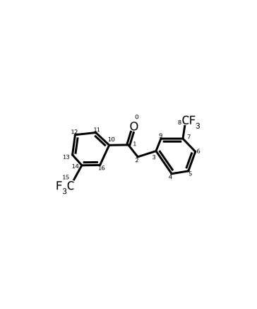 O=C(Cc1cccc(C(F)(F)F)c1)c1cccc(C(F)(F)F)c1